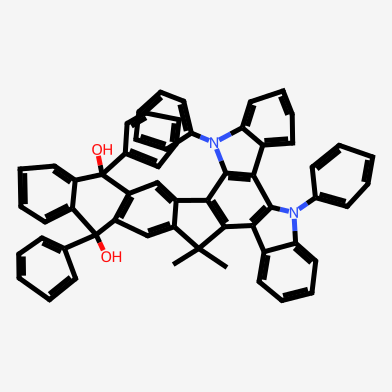 CC1(C)c2cc3c(cc2-c2c1c1c4ccccc4n(-c4ccccc4)c1c1c4ccccc4n(-c4ccccc4)c21)C(O)(c1ccccc1)c1ccccc1C3(O)c1ccccc1